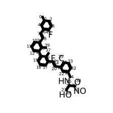 Cc1ccc(F)c(/C=C/c2cccc(-c3cccc(/C=C/c4cc(CNC(CO)C(=O)N=O)ccc4C(F)(F)F)c3C)c2C)c1